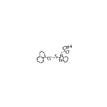 O=C(O)Cn1c(SCCOc2cccc3ccccc23)nc2ccccc21